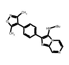 Cc1noc(C)c1-c1ccc(-c2nc3cnccn3c2NC(C)(C)C)cc1